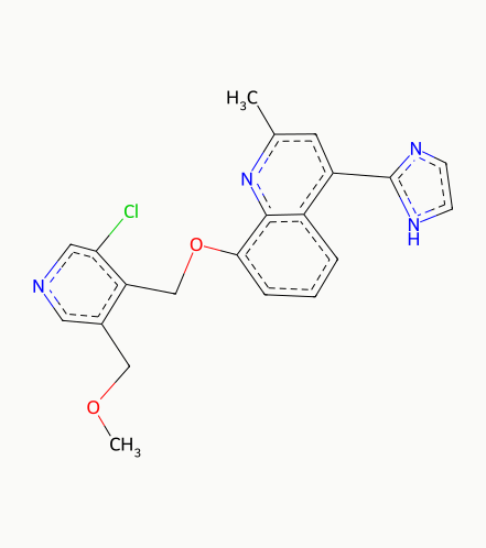 COCc1cncc(Cl)c1COc1cccc2c(-c3ncc[nH]3)cc(C)nc12